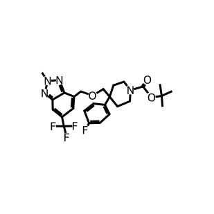 Cn1nc2cc(C(F)(F)F)cc(COCC3(c4ccc(F)cc4)CCN(C(=O)OC(C)(C)C)CC3)c2n1